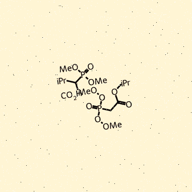 COOP(=O)(CC(=O)OC(C)C)OOC.COP(=O)(OC)C(C(=O)O)C(C)C